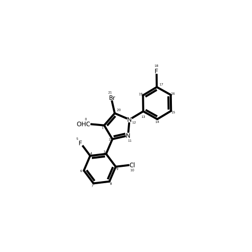 O=Cc1c(-c2c(F)cccc2Cl)nn(-c2cccc(F)c2)c1Br